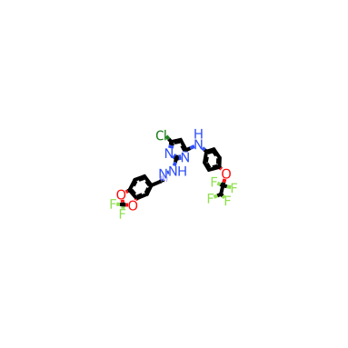 FC(F)C(F)(F)Oc1ccc(Nc2cc(Cl)nc(N/N=C/c3ccc4c(c3)OC(F)(F)O4)n2)cc1